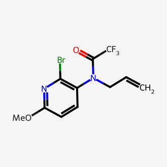 C=CCN(C(=O)C(F)(F)F)c1ccc(OC)nc1Br